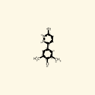 CCc1ccc(-c2cc(C)c(Cl)c(C)c2)nn1